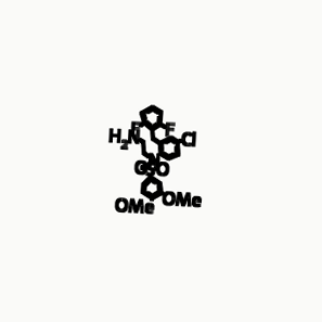 COc1ccc(S(=O)(=O)N(CCN)c2ccc(Cl)cc2Cc2c(F)cccc2F)cc1OC